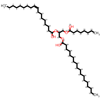 CCCCCCCC/C=C\CCCCCCCC(O)OC(COC(O)CCCCCCC)COC(O)CCCCCCCCCCCCCCCCC